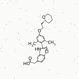 Cc1cc(OCC[C@@H]2CCCCO2)cc(C)c1C(=S)Nc1cc(CC(=O)O)ccc1Cl